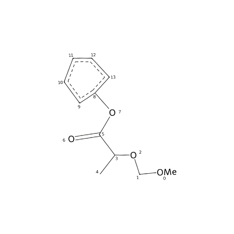 COCOC(C)C(=O)Oc1ccccc1